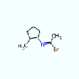 CC1=C(/N=C(\C)Br)CCC1